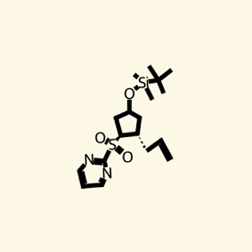 C=CC[C@H]1CC(O[Si](C)(C)C(C)(C)C)C[C@@H]1S(=O)(=O)c1ncccn1